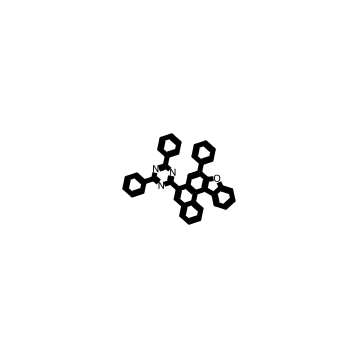 c1ccc(-c2nc(-c3ccccc3)nc(-c3cc4ccccc4c4c3cc(-c3ccccc3)c3oc5ccccc5c34)n2)cc1